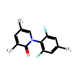 O=c1c(C(F)(F)F)cc(C(F)(F)F)cn1-c1c(F)cc(C(F)(F)F)cc1F